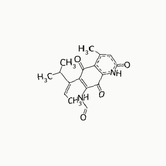 C/C=C(\C1=C(NC=O)C(=O)c2[nH]c(=O)cc(C)c2C1=O)C(C)C